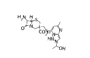 CC1=NC2=CN(C(C)O)NN2C(SCC2(C(=O)O)CS[C@@H]3C(N)C(=O)N3C2)=C1